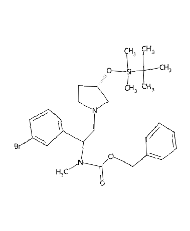 CN(C(=O)OCc1ccccc1)C(CN1CC[C@H](O[Si](C)(C)C(C)(C)C)C1)c1cccc(Br)c1